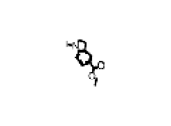 CCOC(=O)c1ccc2c(c1)CCN2I